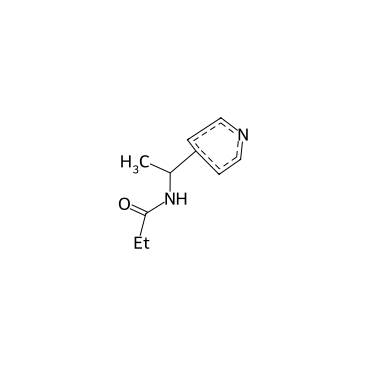 CCC(=O)NC(C)c1ccncc1